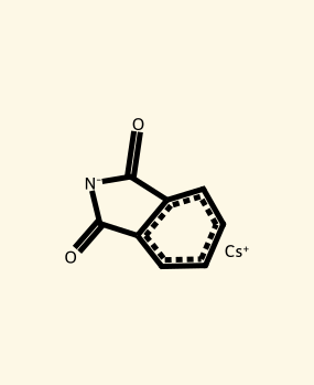 O=C1[N-]C(=O)c2ccccc21.[Cs+]